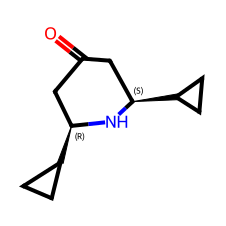 O=C1C[C@@H](C2CC2)N[C@@H](C2CC2)C1